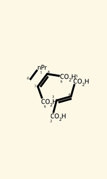 CCCC.O=C(O)/C=C/C(=O)O.O=C(O)/C=C\C(=O)O